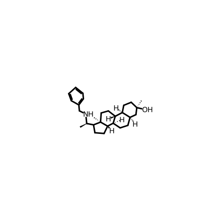 C[C@@H](NCc1ccccc1)C1CC[C@H]2[C@@H]3CC[C@@H]4C[C@](C)(O)CC[C@@H]4[C@H]3CC[C@]12C